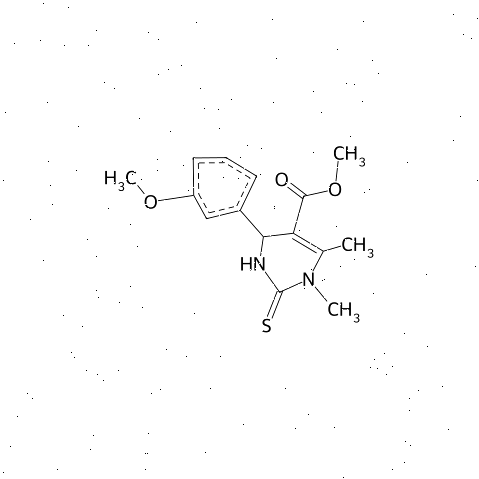 COC(=O)C1=C(C)N(C)C(=S)NC1c1cccc(OC)c1